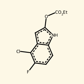 CCOC(=O)Oc1cc2c(Cl)c(F)ccc2[nH]1